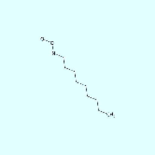 CCCCCCCCC[N]O[O]